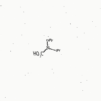 CCCN(C(=O)O)C(C)C